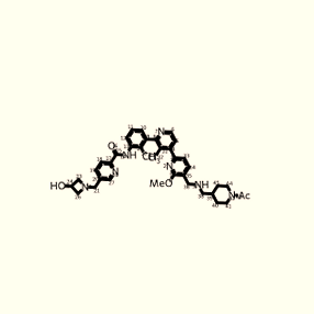 COc1nc(-c2ccnc(-c3cccc(NC(=O)c4ccc(CN5CC(O)C5)cn4)c3C)c2Cl)ccc1CNCC1CCN(C(C)=O)CC1